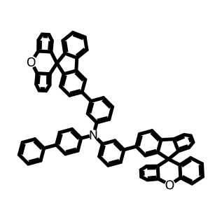 c1ccc(-c2ccc(N(c3cccc(-c4ccc5c(c4)-c4ccccc4C54c5ccccc5Oc5ccccc54)c3)c3cccc(-c4ccc5c(c4)C4(c6ccccc6Oc6ccccc64)c4ccccc4-5)c3)cc2)cc1